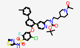 CC(=O)N1CCC(CCN(Cc2cc(-c3cc(-c4cccc(C)c4)ccc3Oc3cc(F)c(S(=O)(=O)Nc4cscn4)cc3Cl)ccn2)C(=O)OC(C)(C)C)CC1